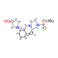 CC(C)(C)OC(=O)N1CCN(Cc2c(N3CCC(O)C3)cccc2C(F)(F)F)CC1